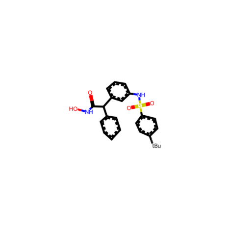 CC(C)(C)c1ccc(S(=O)(=O)Nc2cccc(C(C(=O)NO)c3ccccc3)c2)cc1